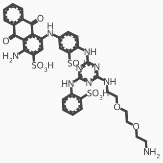 NCCOCCOCCNc1nc(Nc2ccccc2S(=O)(=O)O)nc(Nc2ccc(Nc3cc(S(=O)(=O)O)c(N)c4c3C(=O)c3ccccc3C4=O)cc2S(=O)(=O)O)n1